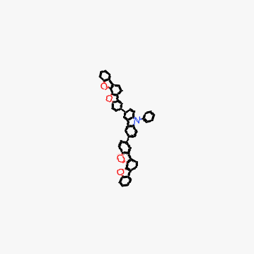 c1ccc(-n2c3ccc(-c4ccc5oc6c(ccc7c8ccccc8oc76)c5c4)cc3c3cc(-c4ccc5oc6c(ccc7c8ccccc8oc76)c5c4)ccc32)cc1